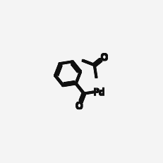 CC(C)=O.O=[C]([Pd])c1ccccc1